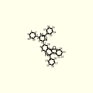 c1ccc(-c2cc(-c3ccc4nc(-c5ccccc5)c5c6ccccc6oc5c4c3)nc(-c3ccccc3)n2)cc1